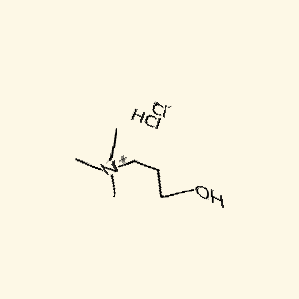 C[N+](C)(C)CCO.Cl.[Cl-]